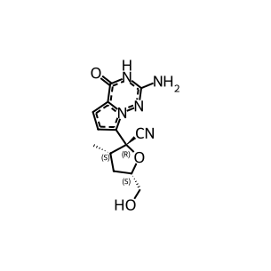 C[C@H]1C[C@@H](CO)O[C@@]1(C#N)c1ccc2c(=O)[nH]c(N)nn12